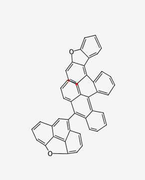 c1ccc(-c2cccc3oc4ccccc4c23)c(-c2c3ccccc3c(-c3cc4cccc5oc6cccc3c6c45)c3ccccc23)c1